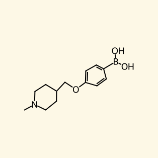 CN1CCC(COc2ccc(B(O)O)cc2)CC1